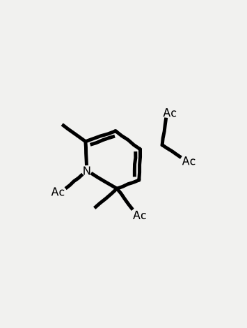 CC(=O)CC(C)=O.CC(=O)N1C(C)=CC=CC1(C)C(C)=O